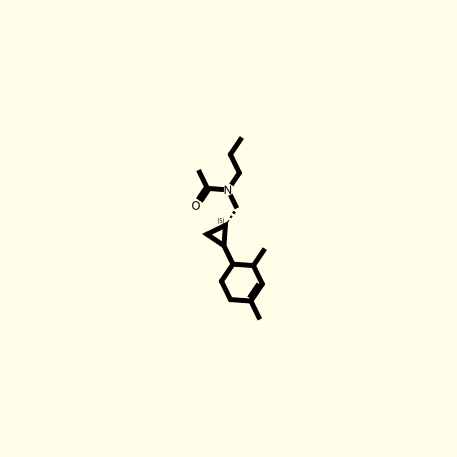 CCCN(C[C@H]1CC1C1CCC(C)=CC1C)C(C)=O